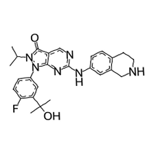 CC(C)n1c(=O)c2cnc(Nc3ccc4c(c3)CNCC4)nc2n1-c1ccc(F)c(C(C)(C)O)c1